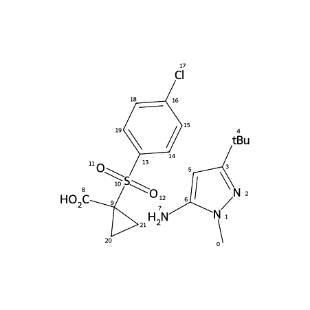 Cn1nc(C(C)(C)C)cc1N.O=C(O)C1(S(=O)(=O)c2ccc(Cl)cc2)CC1